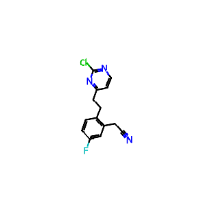 N#CCc1cc(F)ccc1CCc1ccnc(Cl)n1